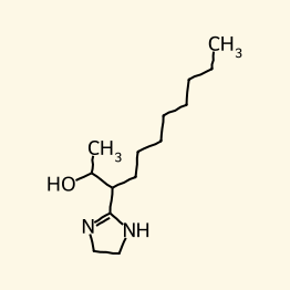 CCCCCCCCC(C1=NCCN1)C(C)O